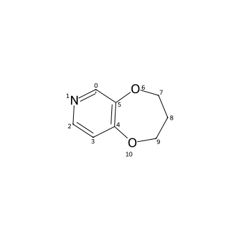 [c]1nccc2c1OCCCO2